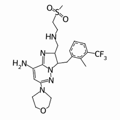 Cc1c(CC2C(CNCCS(C)(=O)=O)N=C3C(N)=CC(N4CCOCC4)=NN32)cccc1C(F)(F)F